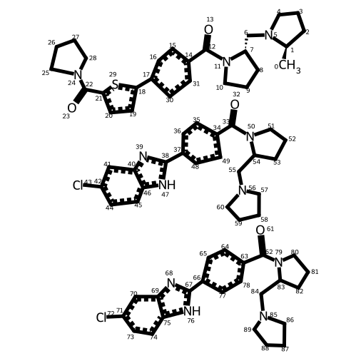 C[C@@H]1CCCN1C[C@@H]1CCCN1C(=O)c1ccc(-c2ccc(C(=O)N3CCCC3)s2)cc1.O=C(c1ccc(-c2nc3cc(Cl)ccc3[nH]2)cc1)N1CCCC1CN1CCCC1.O=C(c1ccc(-c2nc3cc(Cl)ccc3[nH]2)cc1)N1CCCC1CN1CCCC1